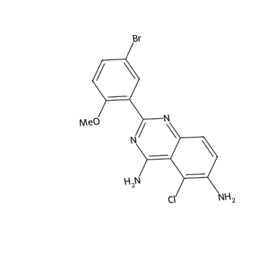 COc1ccc(Br)cc1-c1nc(N)c2c(Cl)c(N)ccc2n1